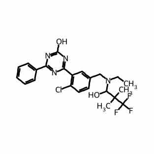 CCN(Cc1ccc(Cl)c(-c2nc(O)nc(-c3ccccc3)n2)c1)C(O)C(C)(C)C(F)(F)F